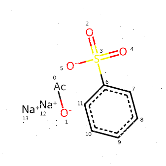 CC(=O)[O-].O=S(=O)([O-])c1ccccc1.[Na+].[Na+]